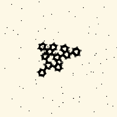 c1ccc(-c2nc(-c3ccccc3)nc(-c3cccc4oc5c(-c6ccc(-c7ccccc7)c7ccccc67)cc(-c6ccc(-c7ccccc7)c7ccccc67)cc5c34)n2)cc1